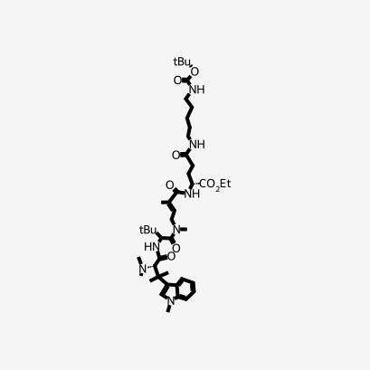 CCOC(=O)[C@@H](CCC(=O)NCCCCCNC(=O)OC(C)(C)C)NC(=O)/C(C)=C/CN(C)C(=O)C(NC(=O)[C@@H](N(C)C)C(C)(C)c1cn(C)c2ccccc12)C(C)(C)C